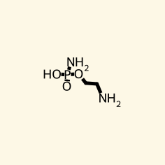 NCCOP(N)(=O)O